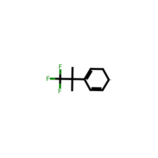 CC(C)(C1=CC[CH]C=C1)C(F)(F)F